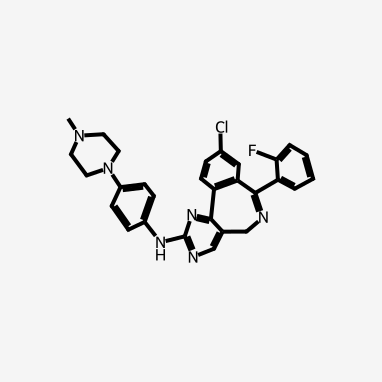 CN1CCN(c2ccc(Nc3ncc4c(n3)-c3ccc(Cl)cc3C(c3ccccc3F)=NC4)cc2)CC1